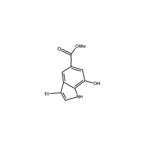 CCc1c[nH]c2c(O)cc(C(=O)OC)cc12